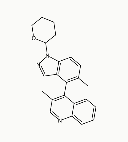 Cc1cnc2ccccc2c1-c1c(C)ccc2c1cnn2C1CCCCO1